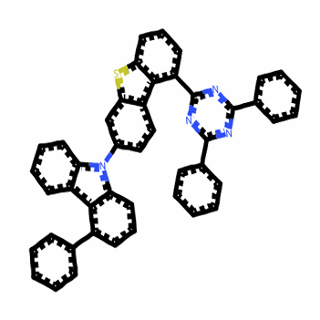 c1ccc(-c2nc(-c3ccccc3)nc(-c3cccc4sc5cc(-n6c7ccccc7c7c(-c8ccccc8)cccc76)ccc5c34)n2)cc1